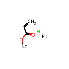 C=CC(=O)OCC.Cl.[Pd]